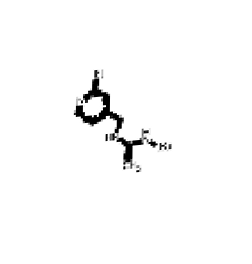 C=C(NCc1ccnc(CC)c1)NC(C)(C)C